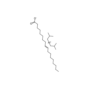 CC(C)[CH2][Al+][CH2]C(C)C.CCCCCCCCC=CCCCCCCCC(=O)[O-]